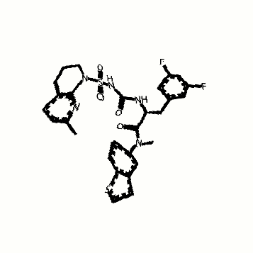 Cc1ccc2c(n1)N(S(=O)(=O)NC(=O)N[C@@H](Cc1cc(F)cc(F)c1)C(=O)N(C)c1ccc3sccc3c1)CCC2